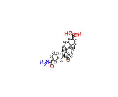 C[C@]12CC[C@@H]3c4ccc(B(O)O)cc4CC[C@H]3[C@@H]1CC(=Cc1cccc(C(N)=O)c1)C2=O